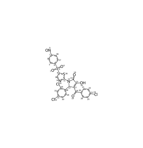 O=Nc1ccc(S(=O)(=O)c2cnc(N3C(=O)C(O)=C(C(=O)c4ccc(Cl)cc4)C3c3ccc(Cl)cc3Cl)s2)cc1